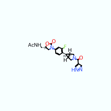 CC(=O)NC[C@H]1CN(c2ccc([C@H]3[C@@H]4CN(C(=O)c5cn[nH]c5)C[C@@H]43)c(F)c2)C(=O)O1